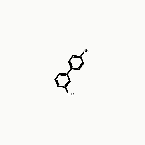 Nc1ccc(-c2cccc(C=O)c2)cc1